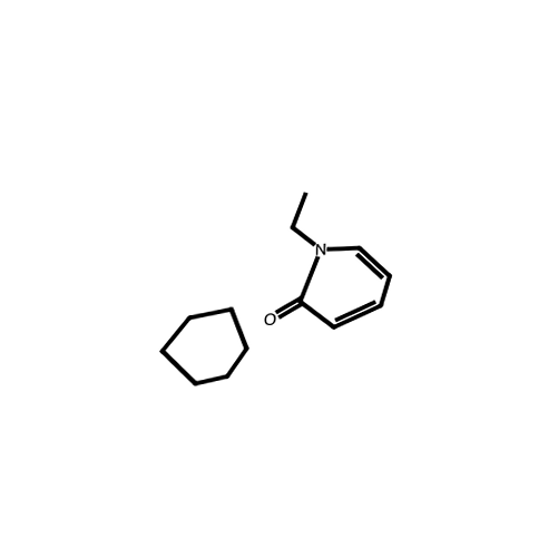 C1CCCCC1.CCn1ccccc1=O